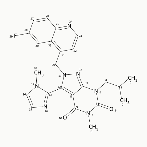 CC(C)Cn1c(=O)n(C)c(=O)c2c(-c3nccn3C)n(Cc3ccnc4ccc(F)cc34)nc21